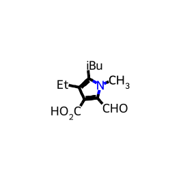 CCc1c(C(=O)O)c(C=O)n(C)c1C(C)CC